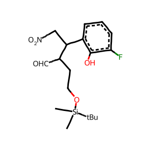 CC(C)(C)[Si](C)(C)OCCC(C=O)C(C[N+](=O)[O-])c1cccc(F)c1O